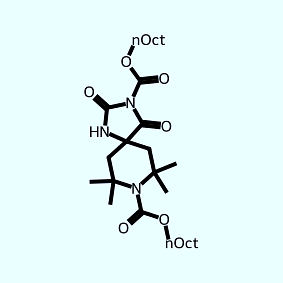 CCCCCCCCOC(=O)N1C(=O)NC2(CC(C)(C)N(C(=O)OCCCCCCCC)C(C)(C)C2)C1=O